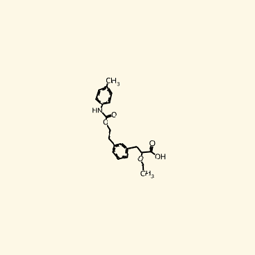 CCOC(Cc1cccc(CCOC(=O)Nc2ccc(C)cc2)c1)C(=O)O